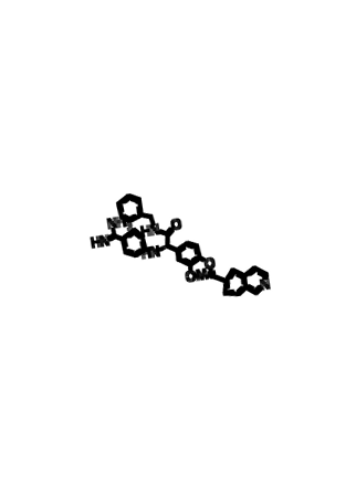 COc1cc([C@@H](Nc2ccc(C(=N)N)cc2)C(=O)NCc2ccccc2)ccc1OCc1ccc2cnccc2c1